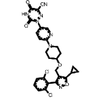 N#Cc1nn(-c2ccc(N3CCC(OCc4c(-c5c(Cl)cccc5Cl)noc4C4CC4)CC3)nc2)c(=O)[nH]c1=O